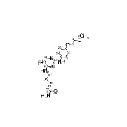 COCCOc1ccc(Nc2ncc(F)c(NCCCOC(N)=O)n2)cc1